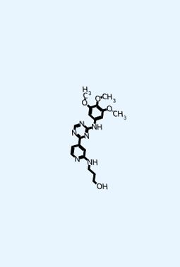 COc1cc(Nc2ncnc(-c3ccnc(NCCCO)c3)n2)cc(OC)c1OC